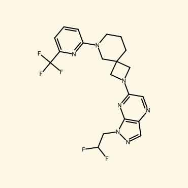 FC(F)Cn1ncc2ncc(N3CC4(CCCN(c5cccc(C(F)(F)F)n5)C4)C3)nc21